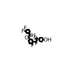 O=C(Nc1ccc(F)c(F)c1)c1ccc(F)c(C(F)C(=O)N2CCC(O)CC2)c1